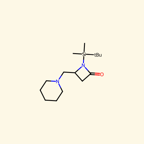 CC(C)(C)[Si](C)(C)N1C(=O)CC1CN1CCCCC1